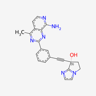 Cc1nc(-c2cccc(C#C[C@@]3(O)CCn4ccnc43)c2)nc2c(N)nccc12